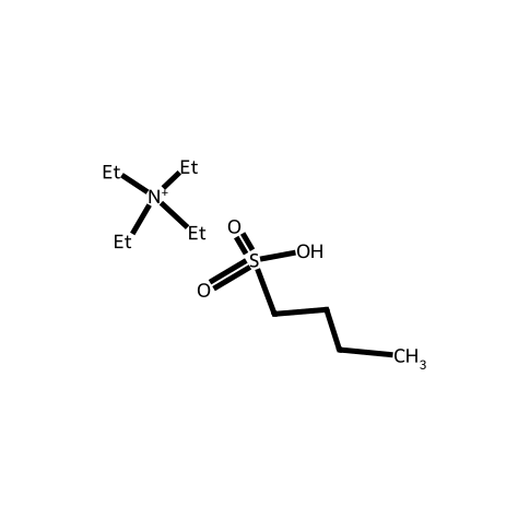 CCCCS(=O)(=O)O.CC[N+](CC)(CC)CC